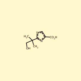 CC(C)(CO)c1nc(C(=O)O)cs1